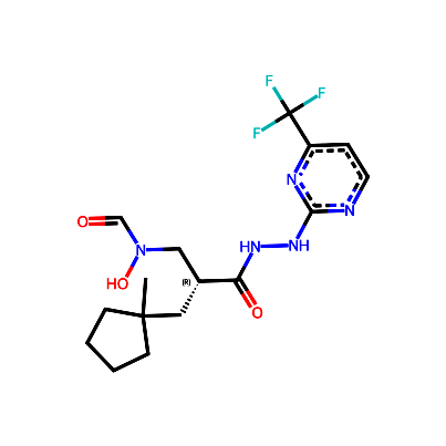 CC1(C[C@H](CN(O)C=O)C(=O)NNc2nccc(C(F)(F)F)n2)CCCC1